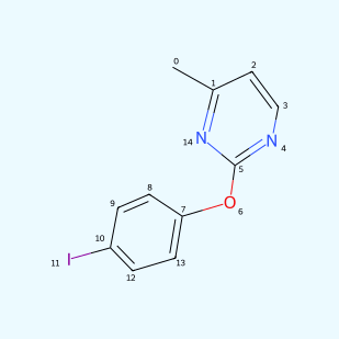 Cc1ccnc(Oc2ccc(I)cc2)n1